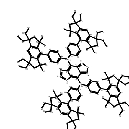 CCC1(CC)CC(C)(C)c2c1cc1c(c2-c2ccc(N(c3ccc(-c4c5c(cc6c4C(C)(C)CC6(CC)CC)C(CC)(CC)CC5(C)C)cc3)c3c4c(c(N(c5ccc(-c6c7c(cc8c6C(C)(C)CC8(CC)CC)C(CC)(CC)CC7(C)C)cc5)c5ccc(-c6c7c(cc8c6C(C)(C)CC8(CC)CC)C(CC)(CC)CC7(C)C)cc5)c5nsnc35)N=S=N4)cc2)C(C)(C)CC1(CC)CC